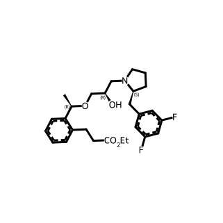 CCOC(=O)CCc1ccccc1[C@@H](C)OC[C@H](O)CN1CCC[C@H]1Cc1cc(F)cc(F)c1